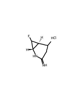 CC1CC(=N)N[C@@H]2C(F)[C@@H]12.Cl